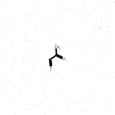 [CH2]C(=O)C=S